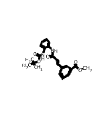 COC(=O)c1cccc(C=CC(=O)Nc2ccccc2NC(=O)OC(C)(C)C)c1